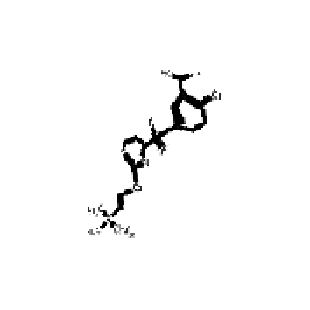 C[Si](C)(C)CCOc1nccc(C(F)(F)c2ccc(Cl)c(C(=O)O)c2)n1